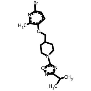 Cc1nc(Br)ccc1OCC1CCN(c2nc(C(C)C)no2)CC1